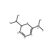 CC(C)C1CC(N(C)C)=CC=N1